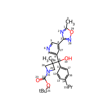 Cc1nc(-c2cncc(C(O)(c3ccc(C(C)C)cc3)C3(C)CN(C(=O)OC(C)(C)C)C3)c2)no1